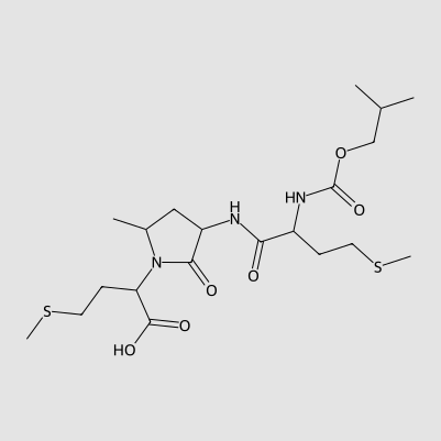 CSCCC(NC(=O)OCC(C)C)C(=O)NC1CC(C)N(C(CCSC)C(=O)O)C1=O